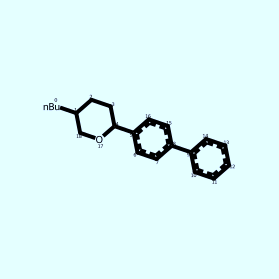 CCCCC1CCC(c2ccc(-c3ccccc3)cc2)OC1